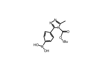 Cc1nnc(-c2ccc(B(O)O)cc2)n1C(=O)OC(C)(C)C